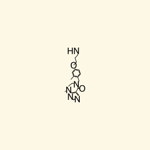 CNCCCOc1ccc(CN2CCN(C)c3ncncc3C2=O)c(C)c1